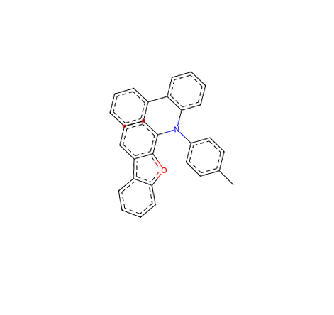 Cc1ccc(N(c2ccccc2-c2ccccc2)c2cccc3c2oc2ccccc23)cc1